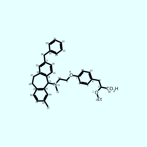 CCOC(Cc1ccc(OCCN(C)C2c3ccc(Cc4ccccc4)cc3CCc3ccc(C)cc32)cc1)C(=O)O